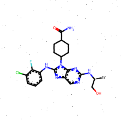 CC[C@@H](CO)Nc1ncc2nc(Nc3cccc(Cl)c3F)n(C3CCC(C(N)=O)CC3)c2n1